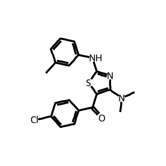 Cc1cccc(Nc2nc(N(C)C)c(C(=O)c3ccc(Cl)cc3)s2)c1